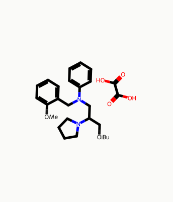 COc1ccccc1CN(CC(COCC(C)C)N1CCCC1)c1ccccc1.O=C(O)C(=O)O